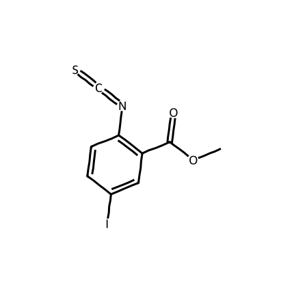 COC(=O)c1cc(I)ccc1N=C=S